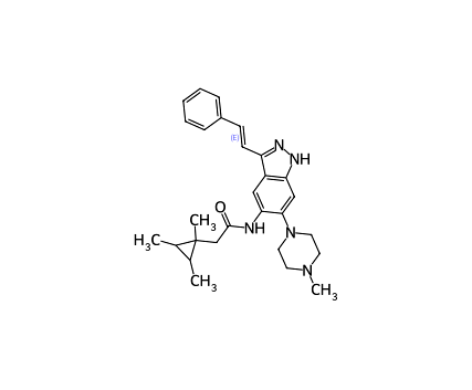 CC1C(C)C1(C)CC(=O)Nc1cc2c(/C=C/c3ccccc3)n[nH]c2cc1N1CCN(C)CC1